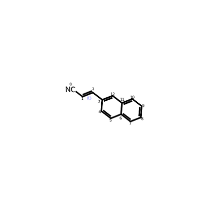 N#C/C=C/c1ccc2ccccc2c1